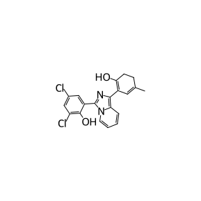 CC1=CC(c2nc(-c3cc(Cl)cc(Cl)c3O)n3ccccc23)=C(O)CC1